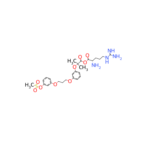 CC(C)(Oc1cccc(OCCCOc2cccc(OS(C)(=O)=O)c2)c1)C(=O)OC(=O)[C@@H](N)CCCNC(=N)N